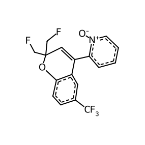 [O-][n+]1ccccc1C1=CC(CF)(CF)Oc2ccc(C(F)(F)F)cc21